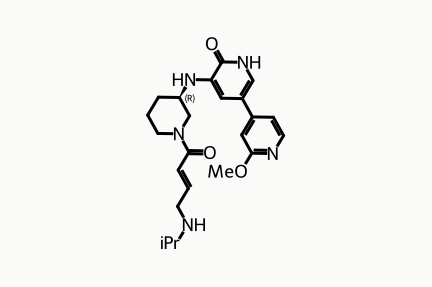 COc1cc(-c2c[nH]c(=O)c(N[C@@H]3CCCN(C(=O)C=CCNC(C)C)C3)c2)ccn1